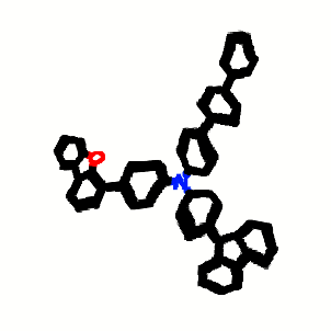 c1ccc(-c2ccc(-c3ccc(N(c4ccc(-c5cccc6c5oc5ccccc56)cc4)c4ccc(C5c6ccccc6-c6ccccc65)cc4)cc3)cc2)cc1